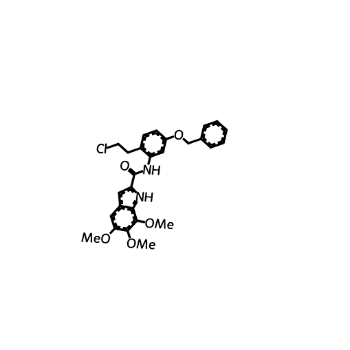 COc1cc2cc(C(=O)Nc3cc(OCc4ccccc4)ccc3CCCl)[nH]c2c(OC)c1OC